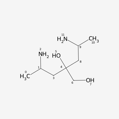 CC(N)CC(O)(CO)CC(C)N